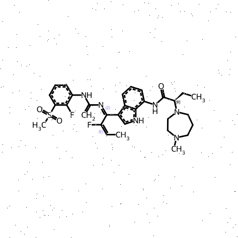 C=C(/N=C(\C(F)=C/C)c1c[nH]c2c(NC(=O)[C@@H](CC)N3CCCN(C)CC3)cccc12)Nc1cccc(S(C)(=O)=O)c1F